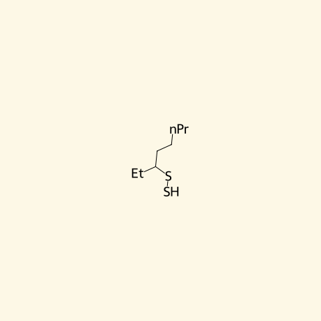 CCCCCC(CC)SS